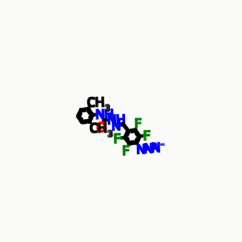 Cc1cccc(C)c1NC(=O)N/N=C/c1c(F)c(F)c(N=[N+]=[N-])c(F)c1F